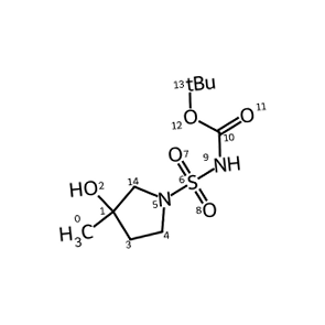 CC1(O)CCN(S(=O)(=O)NC(=O)OC(C)(C)C)C1